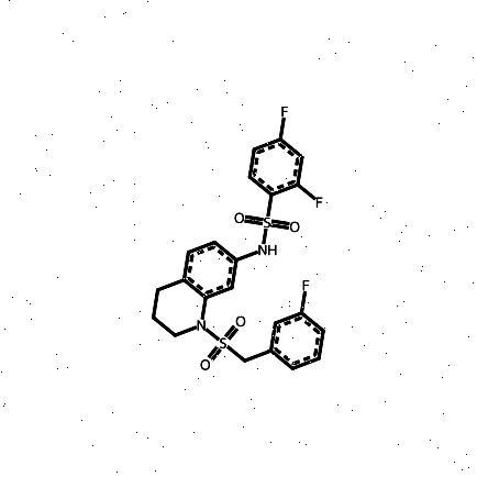 O=S(=O)(Nc1ccc2c(c1)N(S(=O)(=O)Cc1cccc(F)c1)CCC2)c1ccc(F)cc1F